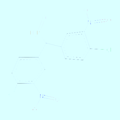 O=[PH2]C(c1ccc(Cl)c([N+](=O)[O-])c1)c1ccc(Cl)c([N+](=O)[O-])c1